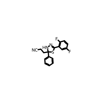 N#CCCC1(c2ccccc2)NN=C(c2cc(F)ccc2F)S1